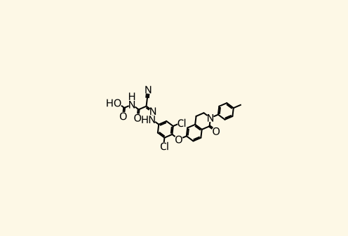 Cc1ccc(N2CCc3cc(Oc4c(Cl)cc(NN=C(C#N)C(=O)NC(=O)O)cc4Cl)ccc3C2=O)cc1